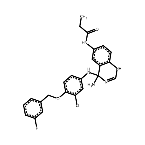 CCC(=O)Nc1ccc2c(c1)C(N)(Nc1ccc(OCc3cccc(F)c3)c(Cl)c1)N=CN2